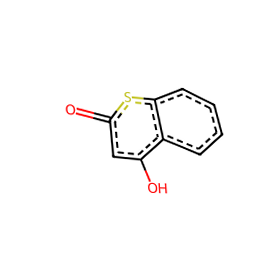 O=c1cc(O)c2ccccc2s1